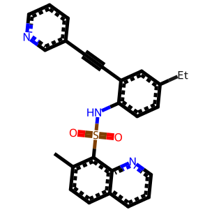 CCc1ccc(NS(=O)(=O)c2c(C)ccc3cccnc23)c(C#Cc2cccnc2)c1